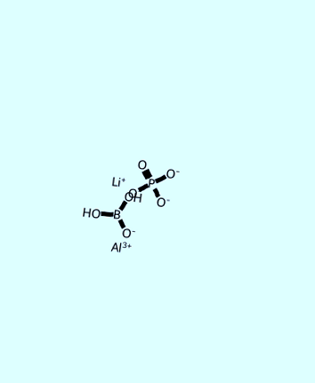 O=P([O-])([O-])[O-].[Al+3].[Li+].[O-]B(O)O